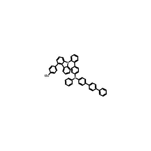 CC(C)(C)c1ccc(-c2cccc3c2c2ccccc2n3-c2ccccc2-c2ccc(N(c3ccccc3)c3ccc(-c4ccc(-c5ccccc5)cc4)cc3)cc2)cc1